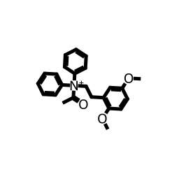 COc1ccc(OC)c(CC[N+](C(C)=O)(c2ccccc2)c2ccccc2)c1